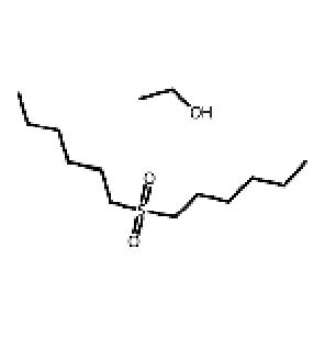 CCCCCCS(=O)(=O)CCCCCC.CCO